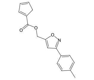 Cc1ccc(-c2cc(COC(=O)C3=CC=CC3)on2)cc1